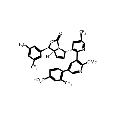 COc1ncc(-c2ccc(C(=O)O)cc2C)cc1-c1ncc(C(F)(F)F)cc1[C@@H]1C=C[C@H]2[C@@H](c3cc(C(F)(F)F)cc(C(F)(F)F)c3)OC(=O)N12